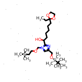 CCC1(CCCCCC(O)c2nc(CO[Si](C)(C)C(C)(C)C)cn2COCC[Si](C)(C)C)OCCO1